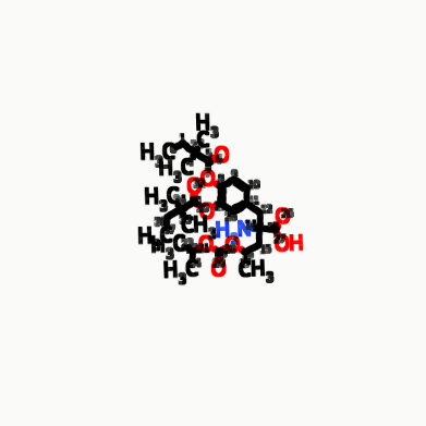 CCC(C)(C)C(=O)Oc1ccc(CC(N)(C[C@H](C)OC(=O)OC(C)C)C(=O)O)cc1OC(=O)C(C)(C)CC